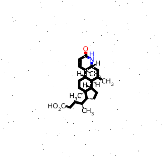 CC1C[C@H]2NC(=O)C=C[C@]2(C)[C@H]2CC[C@]3(C)[C@@H]([C@H](C)CCC(=O)O)CC[C@H]3[C@H]12